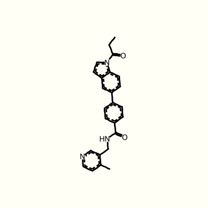 CCC(=O)n1ccc2cc(-c3ccc(C(=O)NCc4cnccc4C)cc3)ccc21